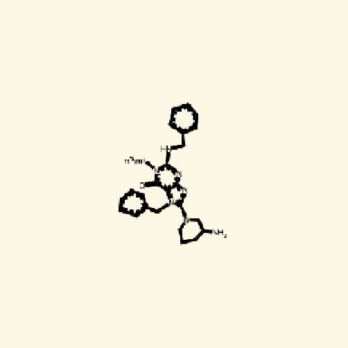 CCCCCn1c(NCc2ccccc2)nc2nc(N3CCCC(N)C3)n(Cc3ccccc3)c2c1=O